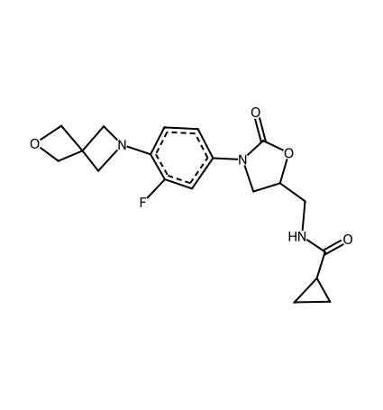 O=C(NCC1CN(c2ccc(N3CC4(COC4)C3)c(F)c2)C(=O)O1)C1CC1